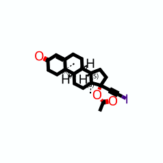 CC(=O)OC1(C#CI)CC[C@H]2[C@@H]3CCC4=CC(=O)CC[C@]4(C)[C@@H]3CC[C@@]21C